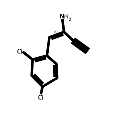 C#C/C(N)=C\c1ccc(Cl)cc1Cl